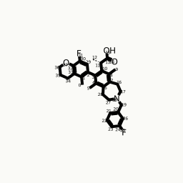 Cc1c(-c2c(C)c3c(c(C)c2[C@H](C)C(=O)O)CCN(Cc2cccc(F)c2)CC3)cc(F)c2c1CCCO2